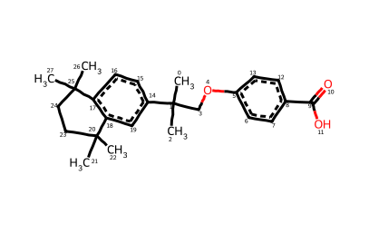 CC(C)(COc1ccc(C(=O)O)cc1)c1ccc2c(c1)C(C)(C)CCC2(C)C